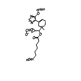 CCCCCCCCCCCCCCCC(=O)OC(C1CC1)[N+]1(C)CCC=C(c2nsnc2OCCCCCC)C1.O=C[O-]